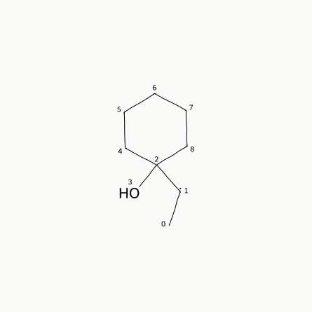 C[CH]C1(O)CCCCC1